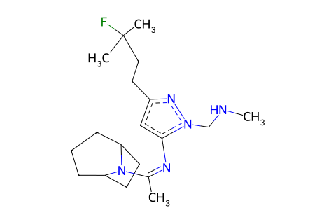 CNCn1nc(CCC(C)(C)F)cc1/N=C(/C)N1C2CCCC1CC2